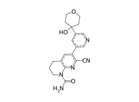 N#Cc1nc2c(cc1-c1cncc(C3(O)CCOCC3)c1)CCCN2C(N)=O